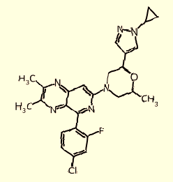 Cc1nc2cc(N3CC(C)OC(c4cnn(C5CC5)c4)C3)nc(-c3ccc(Cl)cc3F)c2nc1C